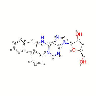 OC[C@@H]1CC(O)[C@H](n2cnc3c(N[C@@H](Cc4ccccc4)c4ccccc4)ncnc32)O1